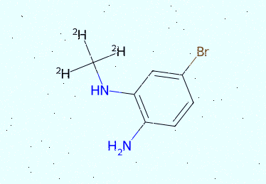 [2H]C([2H])([2H])Nc1cc(Br)ccc1N